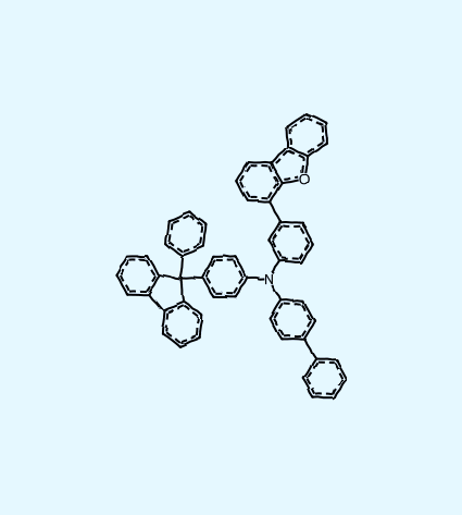 c1ccc(-c2ccc(N(c3ccc(C4(c5ccccc5)c5ccccc5-c5ccccc54)cc3)c3cccc(-c4cccc5c4oc4ccccc45)c3)cc2)cc1